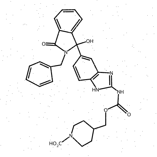 O=C(Nc1nc2cc(C3(O)c4ccccc4C(=O)N3Cc3ccccc3)ccc2[nH]1)OCC1CCN(C(=O)O)CC1